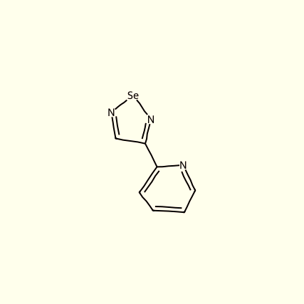 c1ccc(-c2cn[se]n2)nc1